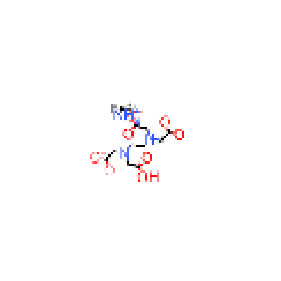 O=C([O-])CN(CCN(CC(=O)[O-])CC(=O)O)CC(=O)[O-].[Fe+2].[NH4+]